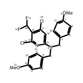 COc1ccc(CN(Cc2ccc(OC)cc2)c2cc(Cl)c(C(F)F)c(Cl)n2)cc1